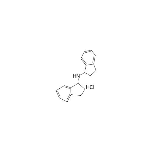 Cl.c1ccc2c(c1)CCC2NC1CCc2ccccc21